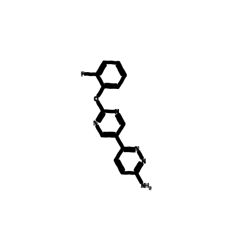 Nc1ccc(-c2cnc(Oc3ccccc3F)nc2)nn1